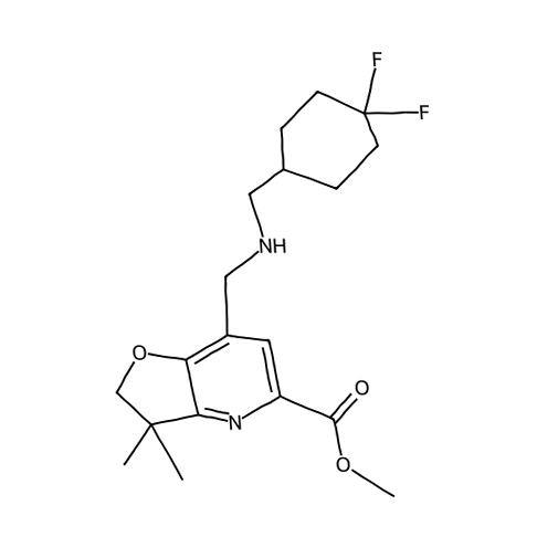 COC(=O)c1cc(CNCC2CCC(F)(F)CC2)c2c(n1)C(C)(C)CO2